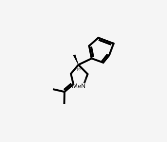 CNC[C@](C)(CC=C(C)C)c1ccccc1